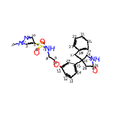 Cn1cc(S(=O)(=O)NCCOc2cccc(C3(Cc4ccccc4)CNC(=O)C3)c2)cn1